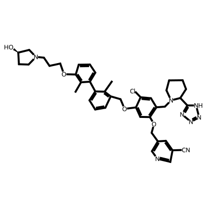 Cc1c(COc2cc(OCc3cncc(C#N)c3)c(CN3CCCCC3c3nnn[nH]3)cc2Cl)cccc1-c1cccc(OCCCN2CC[C@@H](O)C2)c1C